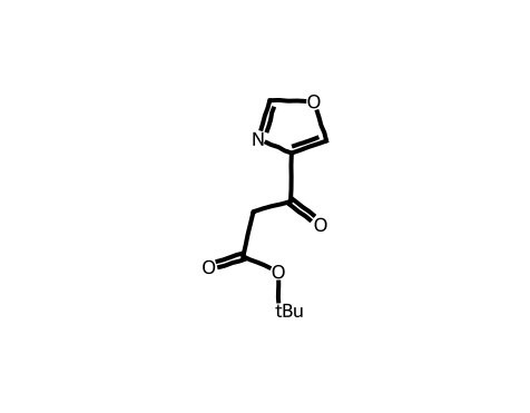 CC(C)(C)OC(=O)CC(=O)c1cocn1